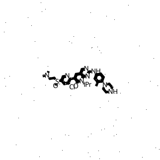 Cc1cc(Nc2ncc3cc(-c4ncc([S+]([O-])CCN(C)C)cc4Cl)c(=O)n(C(C)C)c3n2)ccc1N1CCNCC1